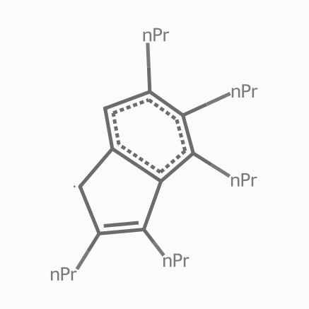 CCCC1=C(CCC)c2c(cc(CCC)c(CCC)c2CCC)[CH]1